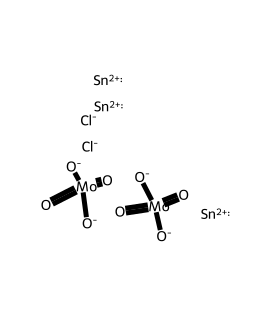 [Cl-].[Cl-].[O]=[Mo](=[O])([O-])[O-].[O]=[Mo](=[O])([O-])[O-].[Sn+2].[Sn+2].[Sn+2]